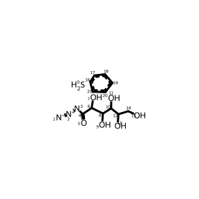 S.[N-]=[N+]=NC(=O)C(O)C(O)C(O)C(O)CO.c1ccccc1